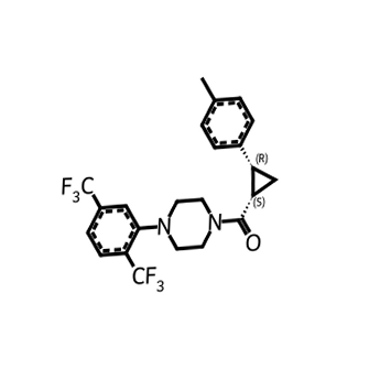 Cc1ccc([C@@H]2C[C@@H]2C(=O)N2CCN(c3cc(C(F)(F)F)ccc3C(F)(F)F)CC2)cc1